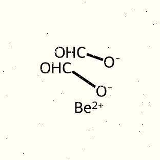 O=C[O-].O=C[O-].[Be+2]